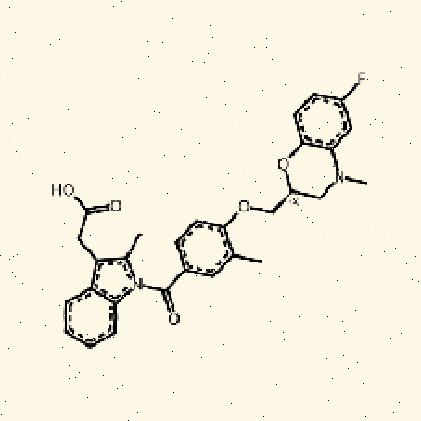 Cc1cc(C(=O)n2c(C)c(CC(=O)O)c3ccccc32)ccc1OC[C@@H]1CN(C)c2cc(F)ccc2O1